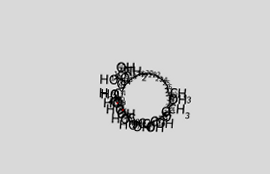 C=C1CC(OC2OC(N)C(O)CC2O)/C=C/C=C/C=C/C=C/C=C/C=C/C=C/[C@H](C)C(O)C[C@H](C)OC(=O)CC(O)CC(O)CCC(O)C(O)CC(O)CC(O)(O)CC(O)C1C(=O)O